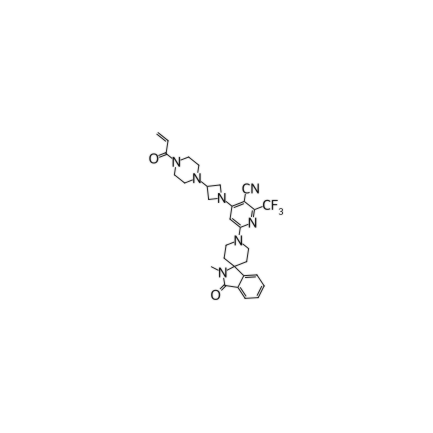 C=CC(=O)N1CCN(C2CN(c3cc(N4CCC5(CC4)c4ccccc4C(=O)N5C)nc(C(F)(F)F)c3C#N)C2)CC1